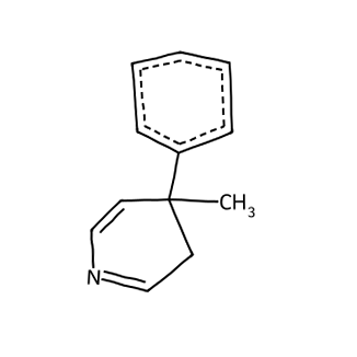 CC1(c2ccccc2)C=CN=CC1